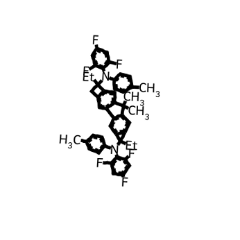 CCC1(N(c2ccc(C)cc2)c2c(F)cc(F)cc2F)Cc2cc3c(cc21)C(C)(C)c1cc2c(cc1-3)C2(CC)N(c1ccc(C)cc1)c1c(F)cc(F)cc1F